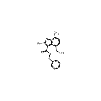 Cc1ccc(CO)c2c(C(=O)OCc3ccccc3)c(C(C)C)nn12